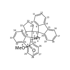 CCCC1(C2(C3(CCC(=O)OC)c4ccccc4-c4ccccc43)CCCC2)c2ccccc2-c2ccccc21